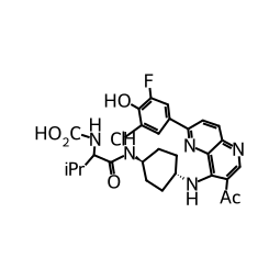 CC(=O)c1cnc2ccc(-c3cc(F)c(O)c(Cl)c3)nc2c1N[C@H]1CC[C@H](NC(=O)C(NC(=O)O)C(C)C)CC1